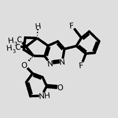 CC1(C)[C@H]2CC[C@]1(Oc1cc[nH]c(=O)c1)c1nnc(-c3c(F)cccc3F)cc12